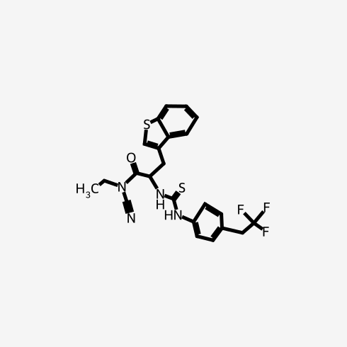 CCN(C#N)C(=O)C(Cc1csc2ccccc12)NC(=S)Nc1ccc(CC(F)(F)F)cc1